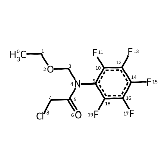 CCOCN(C(=O)CCl)c1c(F)c(F)c(F)c(F)c1F